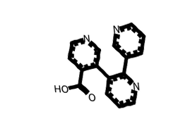 O=C(O)c1ccncc1-c1cccnc1-c1cccnc1